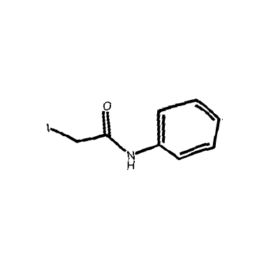 O=C(CI)Nc1cc[c]cc1